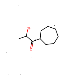 CC(O)C(=O)C1CCCCCC1